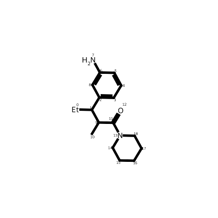 CCC(c1cccc(N)c1)C(C)C(=O)N1CCCCC1